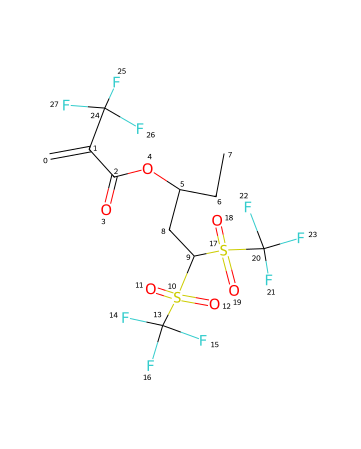 C=C(C(=O)OC(CC)CC(S(=O)(=O)C(F)(F)F)S(=O)(=O)C(F)(F)F)C(F)(F)F